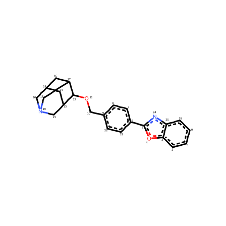 c1ccc2oc(-c3ccc(COC4C5CC6CC4CN(C6)C5)cc3)nc2c1